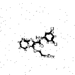 CCCCCCCCCCCCOC1=C(C(=O)Nc2cc(Cl)cc(Cl)c2)SC2=NCCCN21